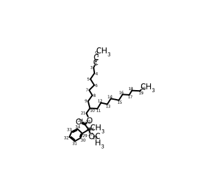 CCCCCCCCCCC(CCCCCCCCCC)COC(=O)C(C)(OC)c1ccccc1